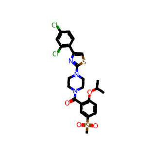 CC(C)Oc1ccc(S(C)(=O)=O)cc1C(=O)N1CCN(c2nc(-c3ccc(Cl)cc3Cl)cs2)CC1